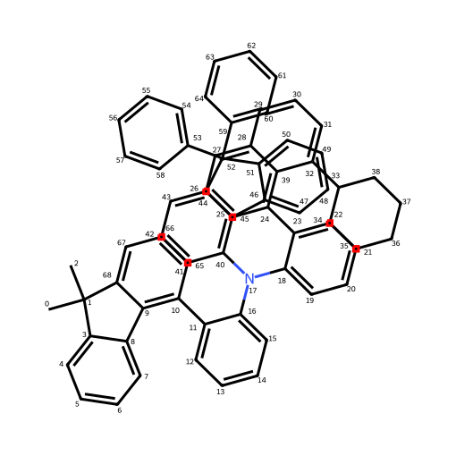 CC1(C)c2ccccc2-c2c(-c3ccccc3N(c3ccccc3-c3cccc4cccc(C5CCCCC5)c34)c3cccc4c3-c3ccccc3C4(c3ccccc3)c3ccccc3)cccc21